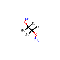 CCC(ON)(C(C)(C)C)C(CC)(ON)C(C)(C)C